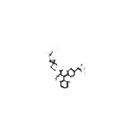 C=CC(=O)N1CC2(CCN(c3nc4c(c(-c5c(F)cccc5Cl)c3C#N)CCC(c3scnc3C)=C4)C2)C1